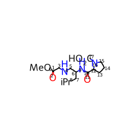 COC(=O)CNCC(CC(C)C)NC(=O)C1CCCN1C(=O)O